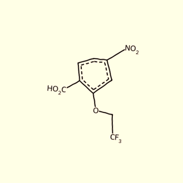 O=C(O)c1ccc([N+](=O)[O-])cc1OCC(F)(F)F